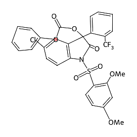 COc1ccc(S(=O)(=O)N2C(=O)C(OC(=O)Oc3ccccc3)(c3ccccc3C(F)(F)F)c3cc(Cl)ccc32)c(OC)c1